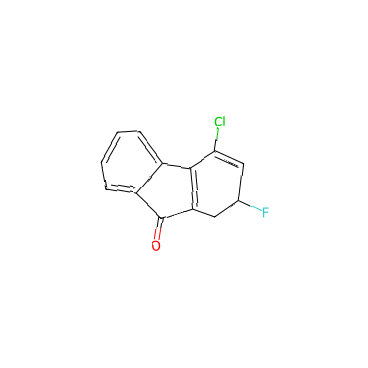 O=C1C2=C(C(Cl)=CC(F)C2)c2ccccc21